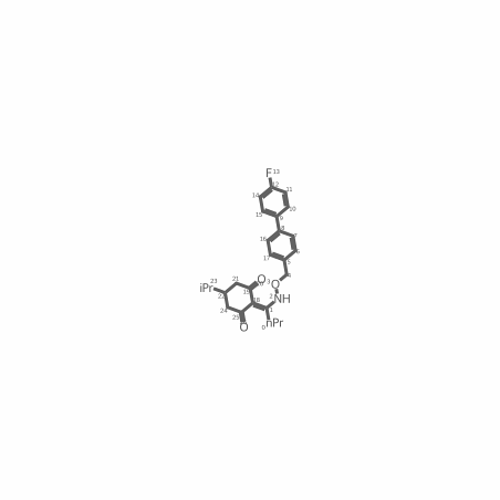 CCCC(NOCc1ccc(-c2ccc(F)cc2)cc1)=C1C(=O)CC(C(C)C)CC1=O